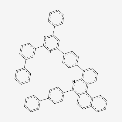 c1ccc(-c2ccc(-c3nc4c(-c5ccc(-c6cc(-c7ccccc7)nc(-c7cccc(-c8ccccc8)c7)n6)cc5)cccc4c4c3ccc3ccccc34)cc2)cc1